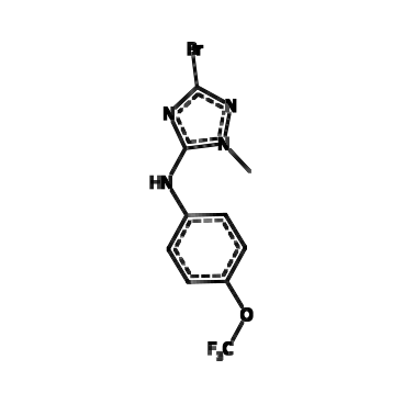 Cn1nc(Br)nc1Nc1ccc(OC(F)(F)F)cc1